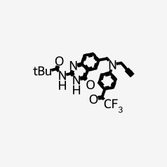 C#CCN(Cc1ccc2nc(NC(=O)C(C)(C)C)[nH]c(=O)c2c1)c1ccc(C(=O)C(F)(F)F)cc1